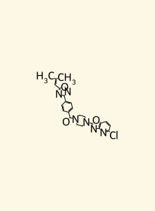 CC(C)=Cc1nc(-c2ccc(C(=O)N3CCN(c4nc5nc(Cl)ccc5o4)CC3)cc2)no1